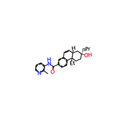 CCC[C@]1(O)CC[C@]2(CC)c3ccc(C(=O)Nc4cccnc4C)cc3C=C[C@@H]2C1